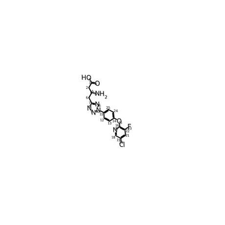 N[C@H](CC(=O)O)Cc1nnn(-c2ccc(Oc3ncc(Cl)cc3F)cc2)n1